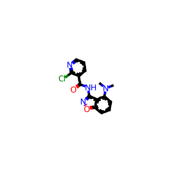 CN(C)c1cccc2onc(NC(=O)c3cccnc3Cl)c12